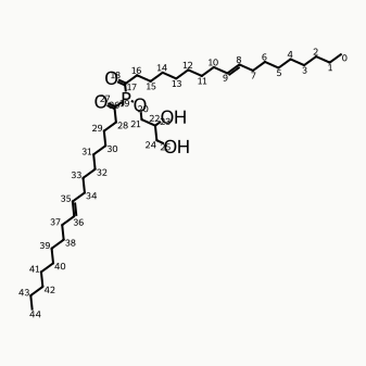 CCCCCCCCC=CCCCCCCCC(=O)P(OCC(O)CO)C(=O)CCCCCCCC=CCCCCCCCC